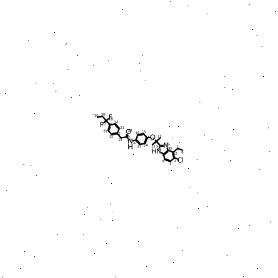 CCc1c(Cl)ccc2[nH]c(C(C)(C)Oc3ccc(NC(=O)Cc4ccc(C(F)(F)CC)cc4)cc3)nc12